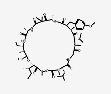 CC[C@H](C)[C@@H]1OC(O)[C@@H](C)[C@@H](CC)NC(=O)[C@H](C)NC(=O)C(C)(C)C(=O)[C@H](C)NC(=O)C(Cc2ccc(OC)cc2)N(C)C(=O)[C@H](C(C)C)N(C)C(=O)CNC(=O)[C@H](CC(C)C)N(C)C(=O)CNC1=O